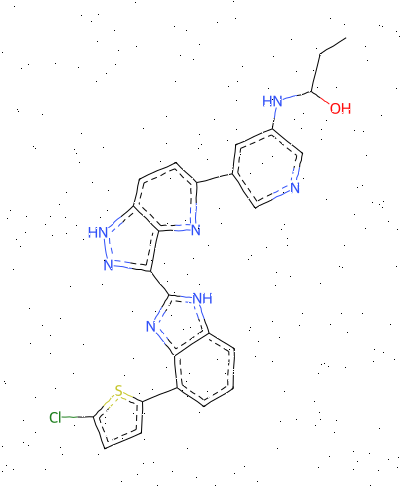 CCC(O)Nc1cncc(-c2ccc3[nH]nc(-c4nc5c(-c6ccc(Cl)s6)cccc5[nH]4)c3n2)c1